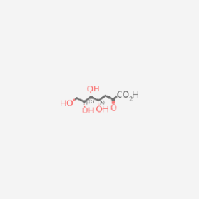 O=C(O)C(=O)C[C@H](O)[C@@H](O)[C@H](O)CO